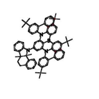 CC(C)(C)c1ccc2c(c1)B1c3ccc(C(C)(C)C)cc3N(c3ccc(C(C)(C)C)cc3-c3ccccc3)c3cc(N4c5ccccc5C5(C)CCc6ccccc6C45C)cc(c31)N2c1ccc(C(C)(C)C)cc1-c1ccccc1